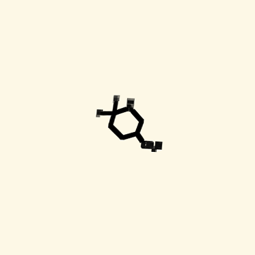 O=C(O)C1CCC(F)(F)NC1